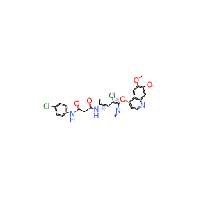 C=N/C(Oc1ccnc2cc(OC)c(OC)cc12)=C(Cl)\C=C(/C)NC(=O)CC(=O)Nc1ccc(Cl)cc1